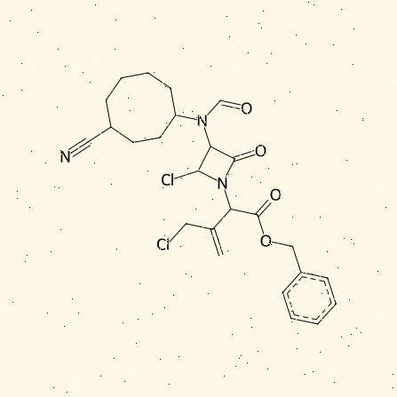 C=C(CCl)C(C(=O)OCc1ccccc1)N1C(=O)C(N(C=O)C2CCCCC(C#N)CC2)C1Cl